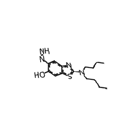 CCCCN(CCCC)c1nc2cc(N=N)c(O)cc2s1